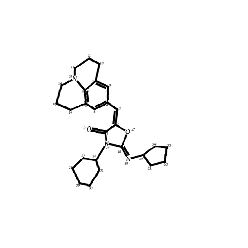 O=C1/C(=C\c2cc3c4c(c2)CCCN4CCC3)OC(=NC2CCCC2)N1C1CCCCC1